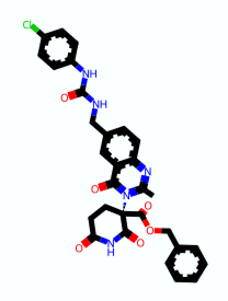 Cc1nc2ccc(CNC(=O)Nc3ccc(Cl)cc3)cc2c(=O)n1[C@@]1(C(=O)OCc2ccccc2)CCC(=O)NC1=O